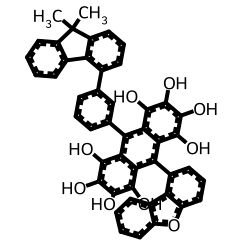 CC1(C)c2ccccc2-c2c(-c3cccc(-c4c5c(O)c(O)c(O)c(O)c5c(-c5cccc6oc7ccccc7c56)c5c(O)c(O)c(O)c(O)c45)c3)cccc21